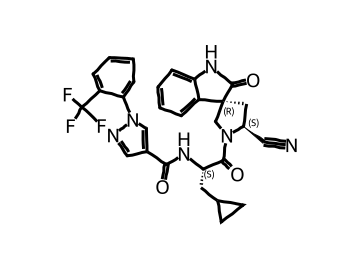 N#C[C@@H]1C[C@@]2(CN1C(=O)[C@H](CC1CC1)NC(=O)c1cnn(-c3ccccc3C(F)(F)F)c1)C(=O)Nc1ccccc12